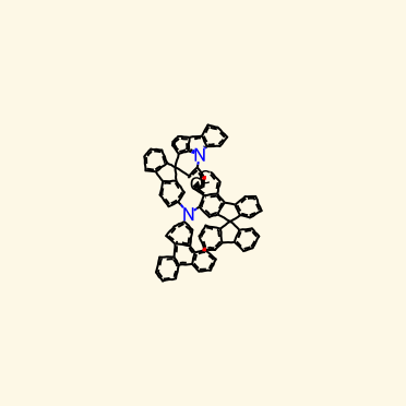 c1ccc2c(c1)-c1ccccc1C21c2ccccc2-c2c1cc(N(c1ccc3c(c1)C1(c4ccccc4-3)c3ccccc3-n3c4ccccc4c4cccc1c43)c1ccc3c4ccccc4c4ccccc4c3c1)c1ccccc21